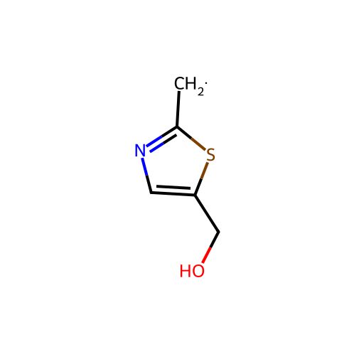 [CH2]c1ncc(CO)s1